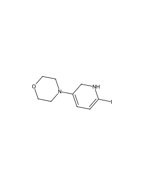 IC1=CC=C(N2CCOCC2)CN1